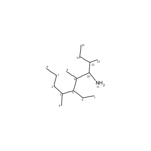 CCCC(C)C(CC)C(C)C(N)C(C)CC